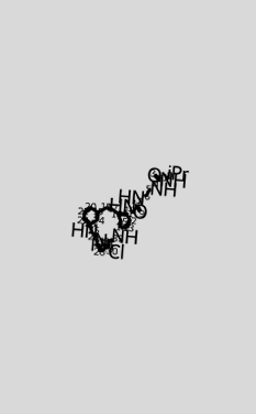 CC(C)NC(=O)NCCNC(=O)Nc1ccc2cc1CCc1cccc(c1)Nc1ncc(Cl)c(n1)N2